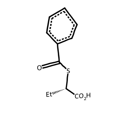 CC[C@H](SC(=O)c1ccccc1)C(=O)O